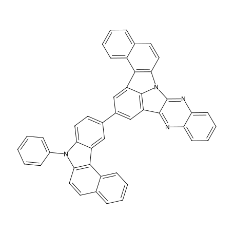 c1ccc(-n2c3ccc(-c4cc5c6nc7ccccc7nc6n6c7ccc8ccccc8c7c(c4)c56)cc3c3c4ccccc4ccc32)cc1